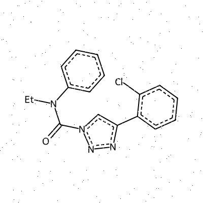 CCN(C(=O)n1cc(-c2ccccc2Cl)nn1)c1ccccc1